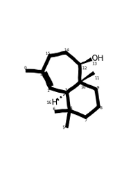 CC1=C[C@@H]2C(C)(C)CCC[C@@]2(C)[C@H](O)CC1